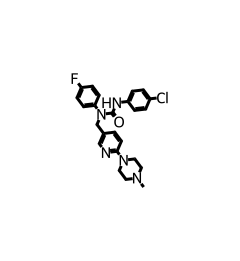 CN1CCN(c2ccc(CN(C(=O)Nc3ccc(Cl)cc3)c3ccc(F)cc3)cn2)CC1